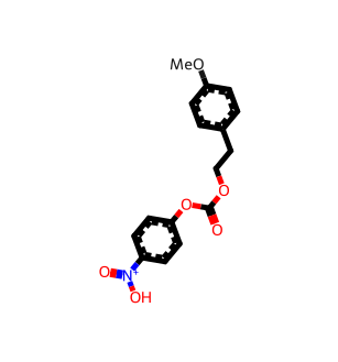 COc1ccc(CCOC(=O)Oc2ccc([N+](=O)O)cc2)cc1